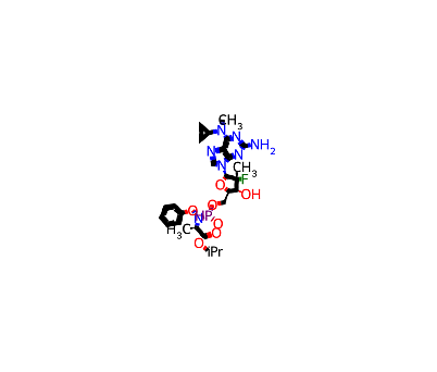 CC(C)OC(=O)[C@H](C)N(Oc1ccccc1)[PH](=O)OC[C@H]1O[C@@H](n2cnc3c(N(C)C4CC4)nc(N)nc32)[C@](C)(F)[C@@H]1O